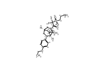 CCOc1ccc(N2C[C@H]3CN(C(=O)C(F)(F)S(=O)(=O)CCN)C[C@@H]2C(C)(C)C3)cc1